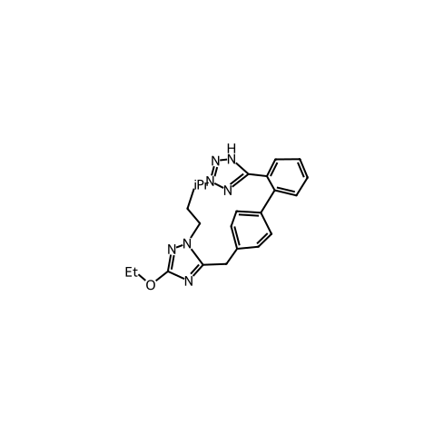 CCOc1nc(Cc2ccc(-c3ccccc3-c3nnn[nH]3)cc2)n(CCC(C)C)n1